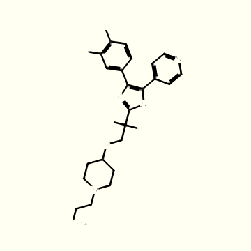 COCCN1CCC(NCC(C)(C)c2nc(-c3ccc(Cl)c(O)c3)c(-c3ccncc3)[nH]2)CC1